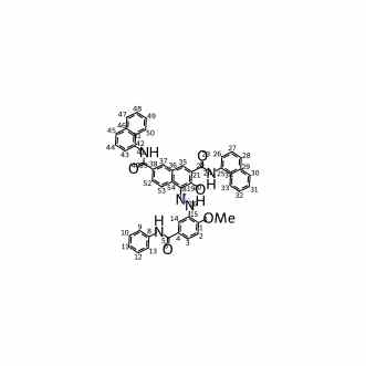 COc1ccc(C(=O)Nc2ccccc2)cc1/N=N/c1c(O)c(C(=O)Nc2cccc3ccccc23)cc2cc(C(=O)Nc3cccc4ccccc34)ccc12